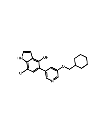 Oc1c(-c2cncc(OCC3CCCCC3)c2)cc(Cl)c2[nH]ccc12